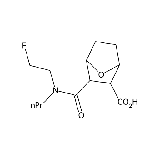 CCCN(CCF)C(=O)C1C2CCC(O2)C1C(=O)O